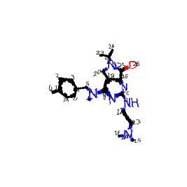 Cc1ccc(CN(C)c2nc(NCCN(C)C)nc3c2CN(C(C)C)C3=O)cc1